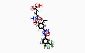 CCc1cc(-c2noc(-c3ccc(F)c(C(F)(F)F)c3)n2)ccc1S(=O)(=O)NCCCC(=O)O